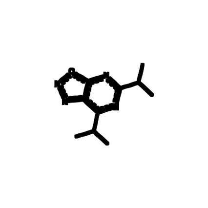 CC(C)c1nc(C(C)C)c2nnoc2n1